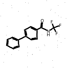 O=C(NC(F)(F)F)c1ccc(-c2ccccc2)cc1